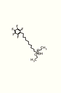 CCO[Si](O)(CCCCCCCCCCc1c(F)c(F)c(F)c(F)c1F)OCC